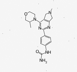 CC1COCCN1c1nc(-c2ccc(NC(N)=O)cc2)nc2c1CN(C)C2